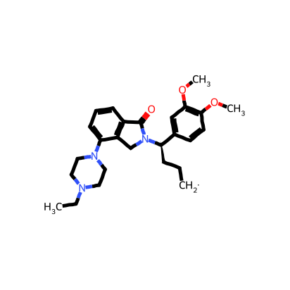 [CH2]CC[C@H](c1ccc(OC)c(OC)c1)N1Cc2c(cccc2N2CCN(CC)CC2)C1=O